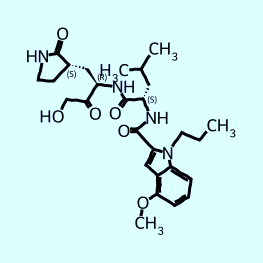 CCCn1c(C(=O)N[C@@H](CC(C)C)C(=O)N[C@H](C[C@@H]2CCNC2=O)C(=O)CO)cc2c(OC)cccc21